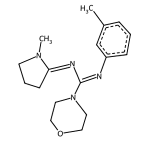 Cc1cccc(N=C(N=C2CCCN2C)N2CCOCC2)c1